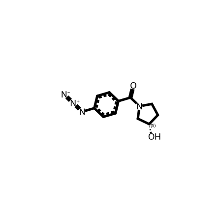 [N-]=[N+]=Nc1ccc(C(=O)N2CC[C@H](O)C2)cc1